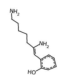 NCCCCCC(N)=Cc1ccccc1O